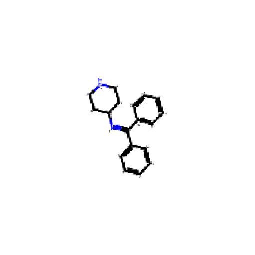 c1ccc(C(=NC2CCNCC2)c2ccccc2)cc1